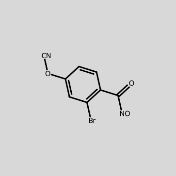 N#COc1ccc(C(=O)N=O)c(Br)c1